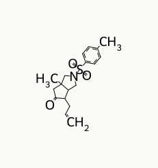 C=CCC1C(=O)CC2(C)CN(S(=O)(=O)c3ccc(C)cc3)CC12